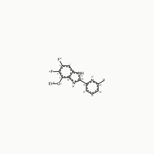 CCOc1c(F)c(F)cc2[nH]c(-c3cccc(C)n3)nc12